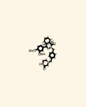 COc1ccc(C2=NN(Cc3ccc(CN4CCNC(=O)C4)cc3)C(=O)[C@@H]3CC=CC[C@H]23)cc1OC